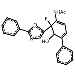 CC(=O)NC1=CC=C(c2ccccc2)C(O)C1(F)c1cnc(-c2ccccc2)o1